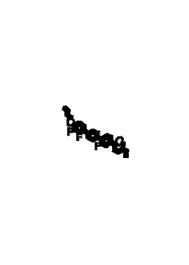 C=CC1CCC(c2ccc(-c3ccc(-c4ccc(OC/C=C/C)c(F)c4F)cc3)c(F)c2)OC1